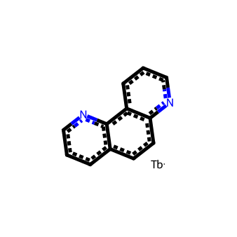 [Tb].c1cnc2c(c1)ccc1ncccc12